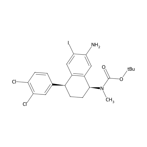 CN(C(=O)OC(C)(C)C)[C@H]1CC[C@@H](c2ccc(Cl)c(Cl)c2)c2cc(I)c(N)cc21